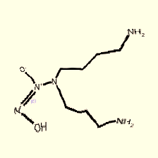 NCCCCN(CCCN)/[N+]([O-])=N\O